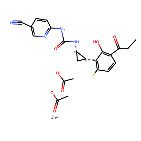 CC(=O)[O-].CC(=O)[O-].CCC(=O)c1ccc(F)c([C@@H]2C[C@@H]2NC(=O)Nc2ccc(C#N)cn2)c1O.[Zn+2]